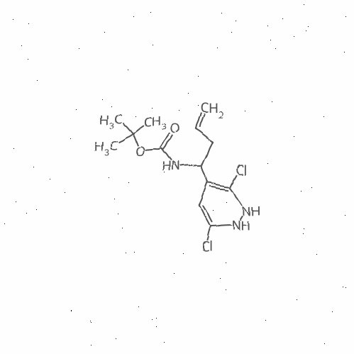 C=CCC(NC(=O)OC(C)(C)C)C1=C(Cl)NNC(Cl)=C1